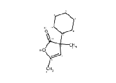 CC1=CC(C)(C2CCCCC2)C(=O)O1